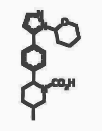 CC1CCC(c2ccc(-c3ccnn3C3CCCCO3)cc2)N(C(=O)O)C1